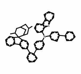 CC1CC2CC(C)C3(c4ccccc4-c4cc(-c5ccccc5-c5ccc(N(c6ccc(-c7ccccc7)cc6)c6cccc7c6sc6ccccc67)cc5)ccc43)C(C1)C2